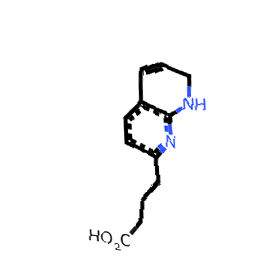 O=C(O)CCCc1ccc2c(n1)NCC=C2